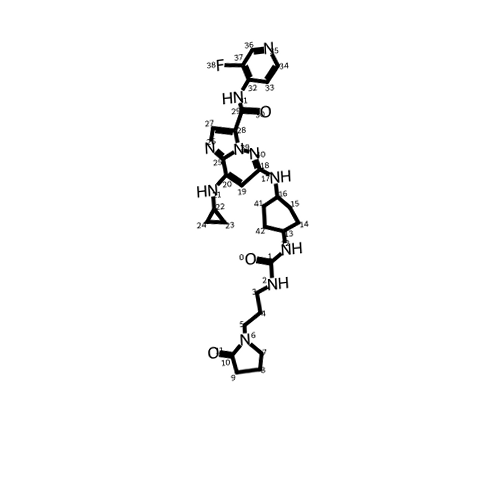 O=C(NCCCN1CCCC1=O)NC1CCC(Nc2cc(NC3CC3)c3ncc(C(=O)Nc4ccncc4F)n3n2)CC1